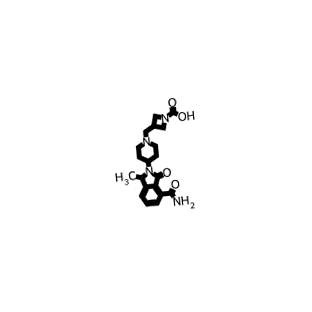 CC1c2cccc(C(N)=O)c2C(=O)N1C1CCN(CC2CN(C(=O)O)C2)CC1